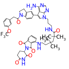 CC(C)(CCNc1cccc2c1C(=O)N(C1CCC(=O)NC1=O)C2=O)CC(C)(C)C(=O)NCCCn1cc(-c2ccc3c(c2)CCN3C(=O)Cc2cccc(OC(F)(F)F)c2)c2c(N)ncnc21